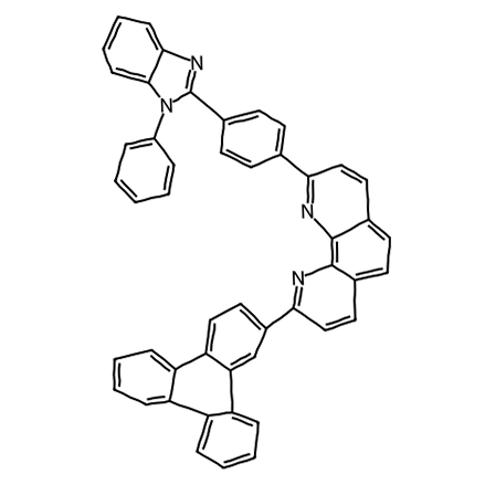 c1ccc(-n2c(-c3ccc(-c4ccc5ccc6ccc(-c7ccc8c9ccccc9c9ccccc9c8c7)nc6c5n4)cc3)nc3ccccc32)cc1